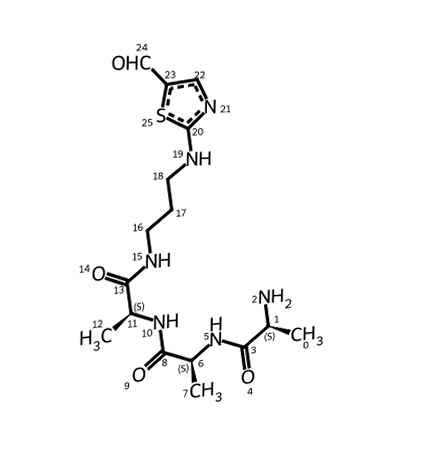 C[C@H](N)C(=O)N[C@@H](C)C(=O)N[C@@H](C)C(=O)NCCCNc1ncc(C=O)s1